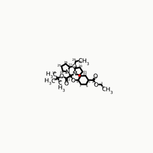 CCOC(=O)C1CCC(OC(C(=O)OC(C)(C)C)(N2CCCC2)N2CCCC2OCC)CC1